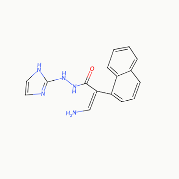 NC=C(C(=O)NNc1ncc[nH]1)c1cccc2ccccc12